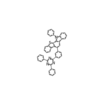 c1ccc(-c2nc(-c3ccccc3)nc(-c3cccc(-c4cc5c6ccccc6n(-c6ccccc6)c5c5sc6ccccc6c45)c3)n2)cc1